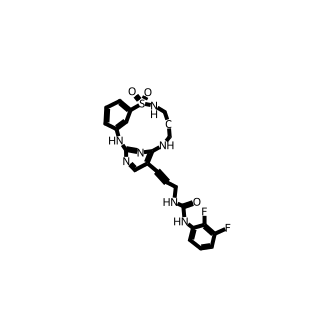 O=C(NCC#Cc1cnc2nc1NCCCNS(=O)(=O)c1cccc(c1)N2)Nc1cccc(F)c1F